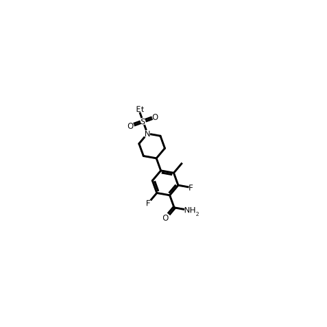 CCS(=O)(=O)N1CCC(c2cc(F)c(C(N)=O)c(F)c2C)CC1